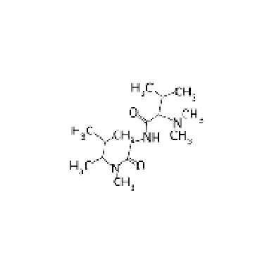 CC(C)C(C(=O)NCC(=O)N(C)C(C)C(C)C)N(C)C